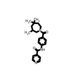 CC1CN(C(=O)c2ccc(NC(=O)c3ccncc3)cc2)CCC(C)(C)C1